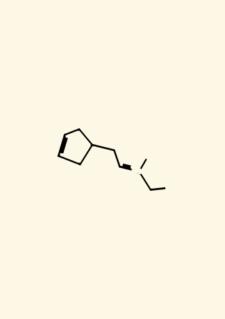 CC[Si](Cl)=CCC1CC=CC1